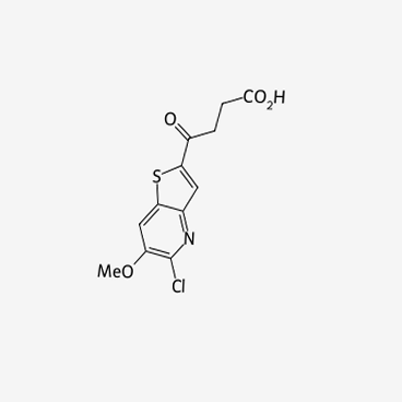 COc1cc2sc(C(=O)CCC(=O)O)cc2nc1Cl